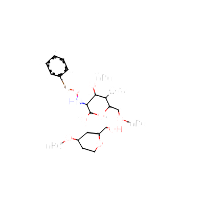 CCCCOCC1OC(O[C@@H]2C(CO)OCCC2OCCCC)C(NOSc2ccccc2)C(OCCCC)C1OC(C)=O